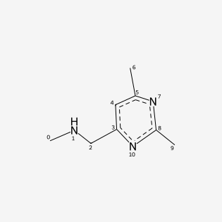 CNCc1cc(C)nc(C)n1